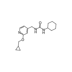 O=C(NCc1ccnc(OCC2CC2)c1)NC1CCCCC1